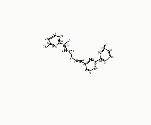 C/C(=N\OCC#Cc1ccnc(-c2cccc(C)n2)n1)c1cccc(C)n1